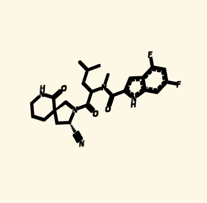 CC(C)CC(C(=O)N1C[C@]2(CCCNC2=O)C[C@H]1C#N)N(C)C(=O)c1cc2c(F)cc(F)cc2[nH]1